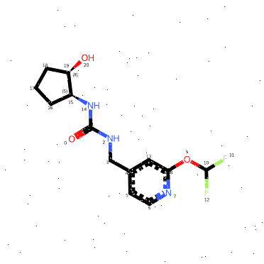 O=C(NCc1ccnc(OC(F)F)c1)N[C@H]1CCC[C@H]1O